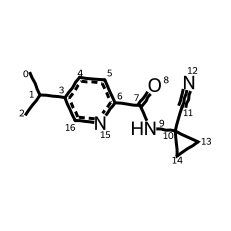 CC(C)c1ccc(C(=O)NC2(C#N)CC2)nc1